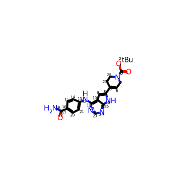 CC(C)(C)OC(=O)N1CC=C(c2cc3c(Nc4ccc(C(N)=O)cc4)ncnc3[nH]2)CC1